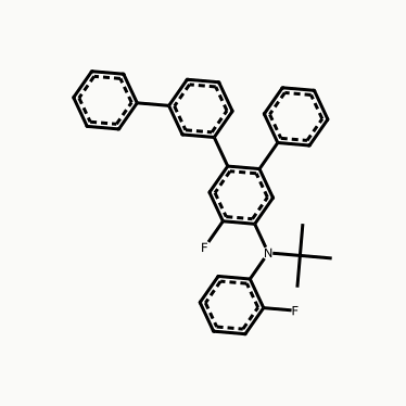 CC(C)(C)N(c1ccccc1F)c1cc(-c2ccccc2)c(-c2cccc(-c3ccccc3)c2)cc1F